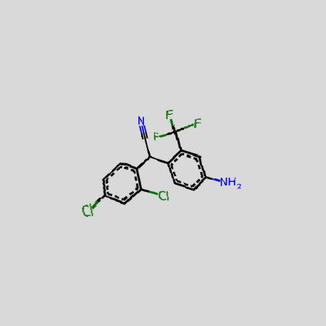 N#CC(c1ccc(Cl)cc1Cl)c1ccc(N)cc1C(F)(F)F